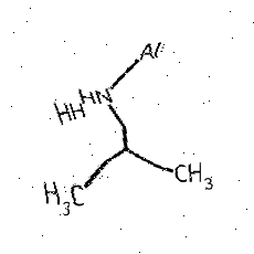 CC(C)[NH][Al].[HH]